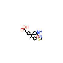 CCC(=C(c1ccc(C=CC(=O)O)cc1)c1ccc2[nH]ncc2c1)c1cccc(Oc2nccs2)c1